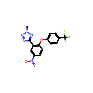 Cn1nnc(-c2cc([N+](=O)[O-])ccc2Oc2ccc(C(F)(F)F)cc2)n1